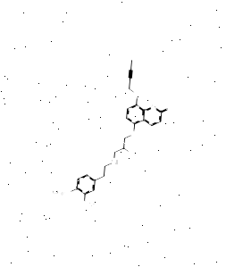 CC#CCOc1ccc(OCC(O)CNCCc2ccc(OC)c(OC)c2)c2ccc(=O)[nH]c12